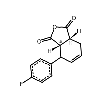 O=C1OC(=O)[C@H]2C(c3ccc(F)cc3)C=CC[C@@H]12